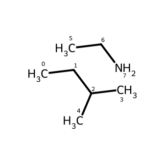 CCC(C)C.CCN